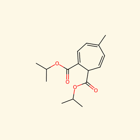 CC1=CC=C(C(=O)OC(C)C)C(C(=O)OC(C)C)C=C1